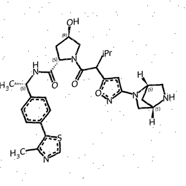 Cc1ncsc1-c1ccc([C@H](C)NC(=O)[C@@H]2C[C@@H](O)CN2C(=O)C(c2cc(N3C[C@@H]4C[C@H]3CN4)no2)C(C)C)cc1